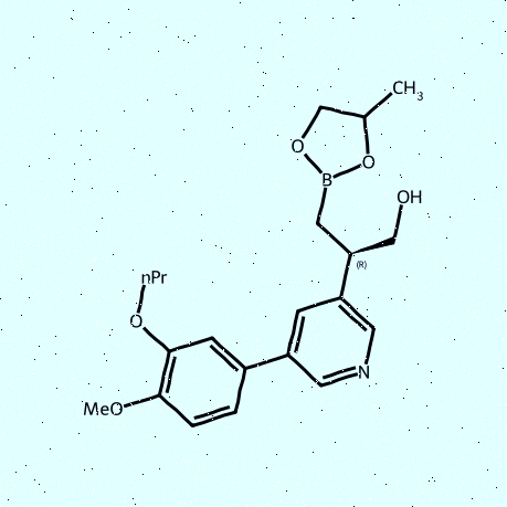 CCCOc1cc(-c2cncc([C@H](CO)CB3OCC(C)O3)c2)ccc1OC